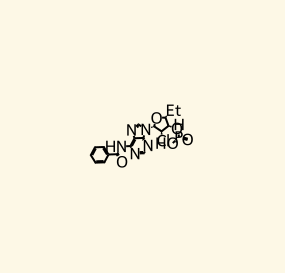 CC[C@H]1O[C@@H](n2cnc3c(NC(=O)c4ccccc4)ncnc32)[C@H](Cl)[C@@H]1O[PH](=O)O